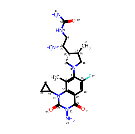 Cc1c(N2C[C@H]([C@H](N)CNC(N)=O)[C@@H](C)C2)c(F)cc2c(=O)n(N)c(=O)n(C3CC3)c12